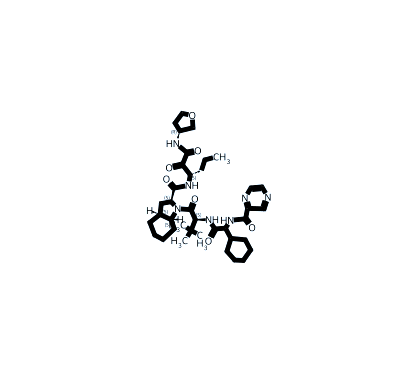 CCC[C@H](NC(=O)[C@@H]1C[C@@H]2CCCC[C@@H]2N1C(=O)[C@@H](NC(=O)C(NC(=O)c1cnccn1)C1CCCCC1)C(C)(C)C)C(=O)C(=O)N[C@@H]1CCOC1